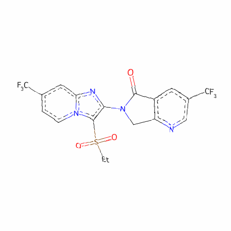 CCS(=O)(=O)c1c(N2Cc3ncc(C(F)(F)F)cc3C2=O)nc2cc(C(F)(F)F)ccn12